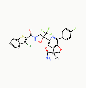 C[C@]1(C(N)=O)COc2c1cc(C(O)(CNC(=O)c1sc3ccccc3c1Cl)C(F)(F)F)nc2-c1ccc(F)cc1